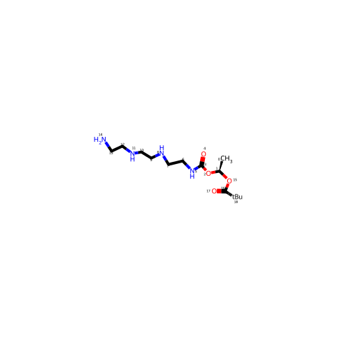 C[C@H](OC(=O)NCCNCCNCCN)OC(=O)C(C)(C)C